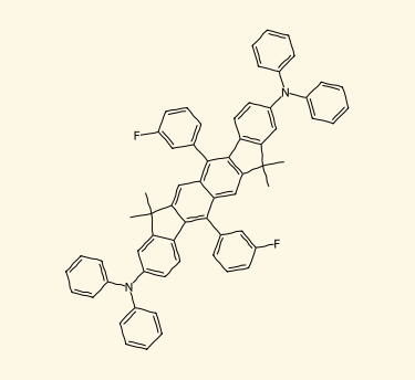 CC1(C)c2cc(N(c3ccccc3)c3ccccc3)ccc2-c2c1cc1c(-c3cccc(F)c3)c3c(cc1c2-c1cccc(F)c1)C(C)(C)c1cc(N(c2ccccc2)c2ccccc2)ccc1-3